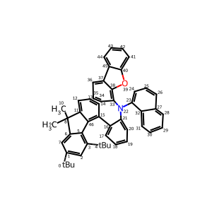 CC(C)(C)c1cc(C(C)(C)C)c2c(c1)C(C)(C)c1cccc(-c3ccccc3N(c3cccc4ccccc34)c3cccc4c3oc3ccccc34)c1-2